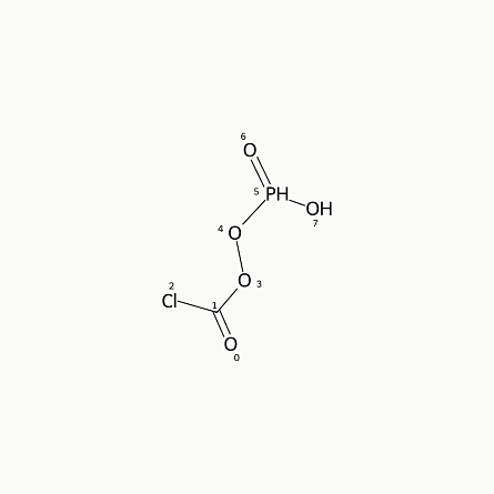 O=C(Cl)OO[PH](=O)O